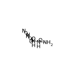 CN(C)c1ccc(N=Nc2ccc(S(=O)(=O)NCCCNC(=O)CCCN)cc2)cc1